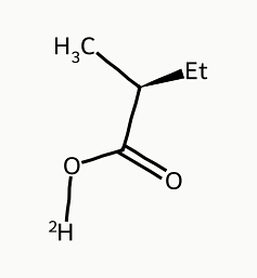 [2H]OC(=O)[C@@H](C)CC